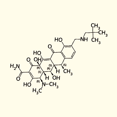 C[C@@H]1c2ccc(CNCC(C)(C)C)c(O)c2C(=O)C2=C(O)[C@@]3(O)C(=O)C(C(N)=O)=C(O)[C@H](N(C)C)[C@H]3[C@H](O)[C@H]21